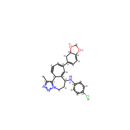 Cc1nnn2c1C1C#CC=C(C3=CC=C4OCOC4C3)C=C1C(Nc1ccc(Cl)cc1)CC2